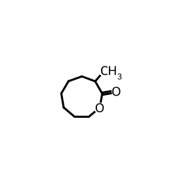 CC1CCCCCCOC1=O